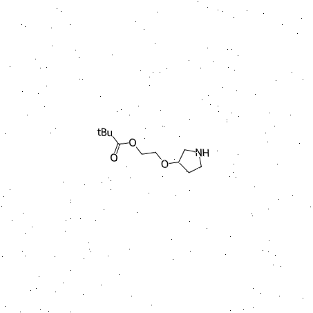 CC(C)(C)C(=O)OCCOC1CCNC1